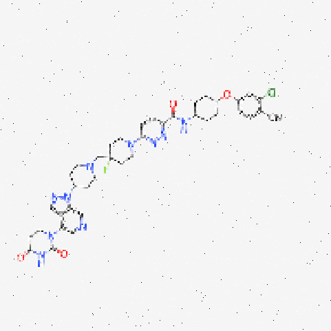 N#Cc1ccc(OC2CCC(NC(=O)c3ccc(N4CCC(F)(CN5CCC(n6ncc7c(N8CCC(=O)NC8=O)cncc76)CC5)CC4)nn3)CC2)cc1Cl